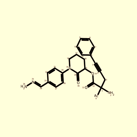 CC(=O)C(N)(CC#Cc1ccccc1)C(=O)OC1CCCN(c2ccc(C=NN)cc2)C1=O